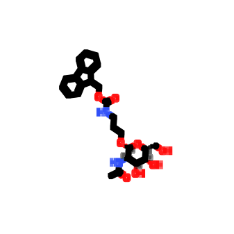 CC(=O)N[C@H]1[C@H](OCCCNC(=O)OCC2c3ccccc3-c3ccccc32)O[C@H](CO)[C@H](O)[C@@H]1O